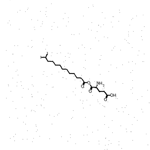 N[C@@H](CCC(=O)O)C(=O)OC(=O)CCCCCCCCCCC(I)I